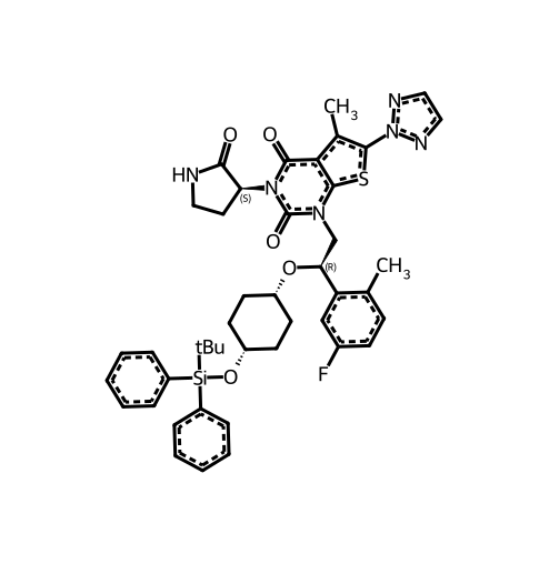 Cc1ccc(F)cc1[C@H](Cn1c(=O)n([C@H]2CCNC2=O)c(=O)c2c(C)c(-n3nccn3)sc21)O[C@H]1CC[C@@H](O[Si](c2ccccc2)(c2ccccc2)C(C)(C)C)CC1